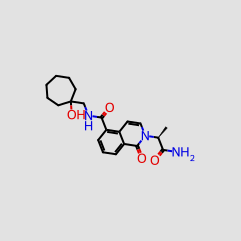 C[C@@H](C(N)=O)n1ccc2c(C(=O)NCC3(O)CCCCCC3)cccc2c1=O